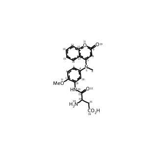 COc1ccc(N(C)c2cc(=O)oc3ccccc23)cc1NC(=O)C(N)CC(=O)O